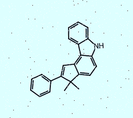 CC1(C)C(c2ccccc2)=Cc2c1ccc1[nH]c3ccccc3c21